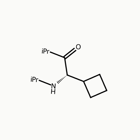 CC(C)N[C@H](C(=O)C(C)C)C1CCC1